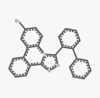 Brc1ccc2c(c1)c1ccccc1c1nnc(-c3ccccc3-c3ccccc3)n21